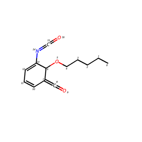 CCCCCOC1C(=C=O)C=CC=C1N=C=O